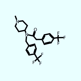 CN1CCC(N(Cc2ccc(C(F)(F)F)cc2)C(=O)Cc2ccc(C(F)(F)F)cc2)CC1